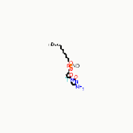 CCCCCCCCCCCCCCCCCCOP(=O)(N=O)OC[C@@H]1CC(F)(F)[C@H](n2ccc(N)nc2=O)O1